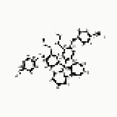 CCCc1cc(C2(c3ccc(Oc4ccc(N)cc4)c(CCC)c3)c3ccccc3-c3ccccc32)ccc1Oc1ccc(N)cc1